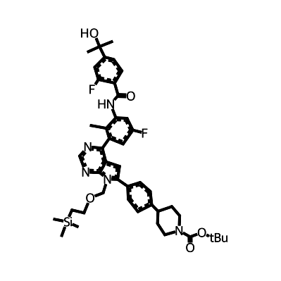 Cc1c(NC(=O)c2ccc(C(C)(C)O)cc2F)cc(F)cc1-c1ncnc2c1cc(-c1ccc(C3CCN(C(=O)OC(C)(C)C)CC3)cc1)n2COCC[Si](C)(C)C